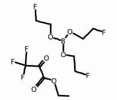 CCOC(=O)C(=O)C(F)(F)F.FCCOB(OCCF)OCCF